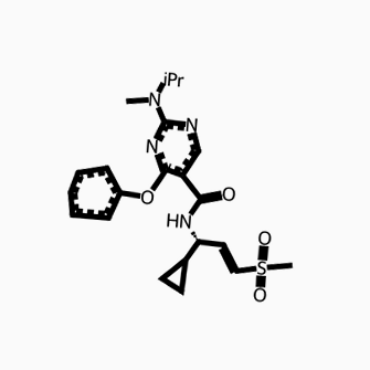 CC(C)N(C)c1ncc(C(=O)N[C@H](/C=C/S(C)(=O)=O)C2CC2)c(Oc2ccccc2)n1